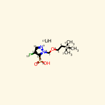 C[Si](C)(C)CCOCn1ncc(F)c1S(=O)O.[LiH]